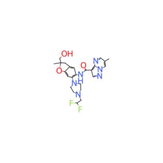 Cc1cnc2c(C(=O)Nc3cc4c(cc3N3CCN(CC(F)F)CC3)OC(C)(CO)C4)cnn2c1